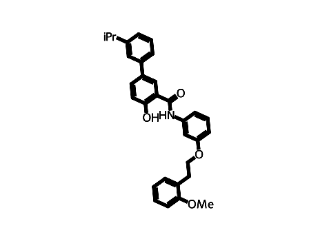 COc1ccccc1CCOc1cccc(NC(=O)c2cc(-c3cccc(C(C)C)c3)ccc2O)c1